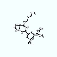 C=CCCOc1nc(-c2cc(C)nc(C(C)NCC)c2)cn2ccnc12